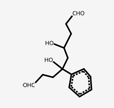 O=[C]CCC(O)(CC(O)CCC=O)c1ccccc1